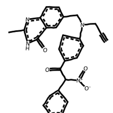 C#CCN(Cc1ccc2nc(C)[nH]c(=O)c2c1)c1ccc(C(=O)C(c2ccccc2)[N+](=O)[O-])cc1